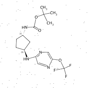 CC(C)(C)OC(=O)N[C@H]1CC[C@H](Nc2cnc(OC(F)(F)F)cn2)C1